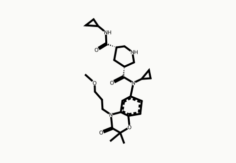 COCCCN1C(=O)C(C)(C)Oc2ccc(N(C(=O)[C@H]3CNC[C@@H](C(=O)NC4CC4)C3)C3CC3)cc21